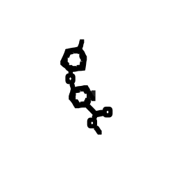 COC(=O)c1ccc(Oc2ccc(C)cc2)cn1